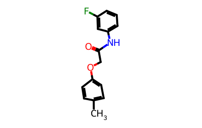 Cc1ccc(OCC(=O)Nc2cccc(F)c2)cc1